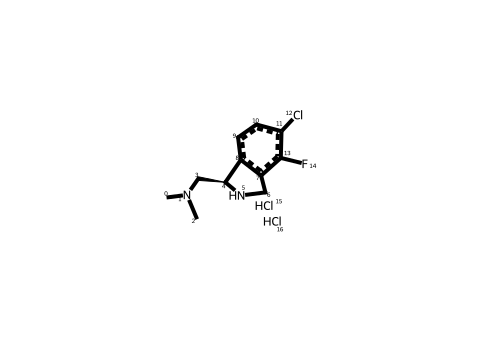 CN(C)C[C@@H]1NCc2c1ccc(Cl)c2F.Cl.Cl